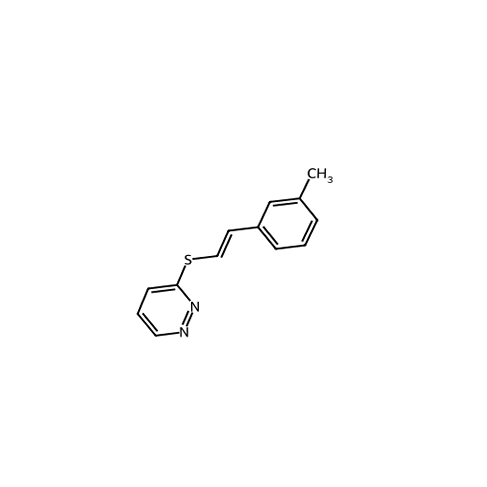 Cc1cccc(/C=C/Sc2cccnn2)c1